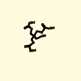 CCCCCCCCC(=O)OCC(CO)(COC(=O)CCCCCCCC)COC(=O)CCCCCCCC